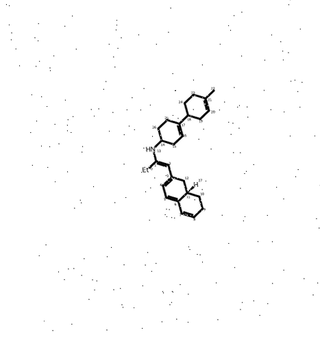 CC/C(=C\C1=CC=C2C=CCC[C@H]2C1)NC1CC=C(C2CC=C(C)CC2)CC1